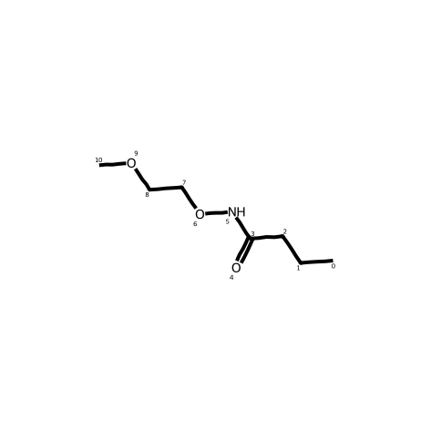 CCCC(=O)NOCCOC